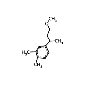 COCC[C](C)c1ccc(C)c(C)c1